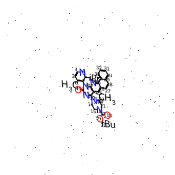 Cc1ccnc(C(C)C)c1-n1c(=O)nc(N2CCN(C(=O)OC(C)(C)C)C[C@@H]2C)c2cc3ccc4ccccc4c3nc21